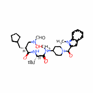 CN(C(=O)[C@@H](NC(=O)[C@H](CC1CCCC1)CN(O)C=O)C(C)(C)C)C1CCN(C(=O)c2cc3ccccc3n2C)CC1